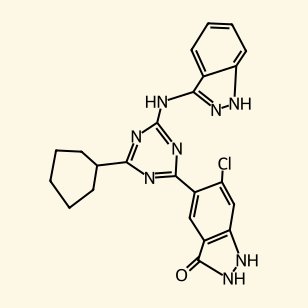 O=c1[nH][nH]c2cc(Cl)c(-c3nc(Nc4n[nH]c5ccccc45)nc(C4CCCCC4)n3)cc12